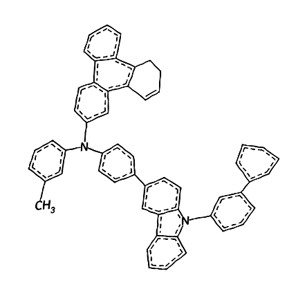 Cc1cccc(N(c2ccc(-c3ccc4c(c3)c3ccccc3n4-c3cccc(-c4ccccc4)c3)cc2)c2ccc3c(c2)c2c(c4ccccc43)CCC=C2)c1